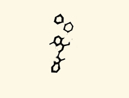 Cc1c(-c2cc(C(O)O)c3c(O[C@@H]4CCC[C@H](c5ccccc5)C4)ccc(C)c3n2)oc2ccccc12